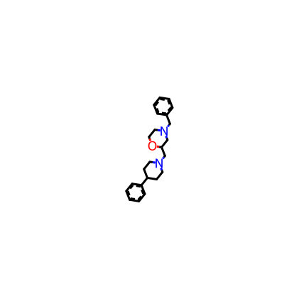 c1ccc(CN2CCOC(CN3CCC(c4ccccc4)CC3)C2)cc1